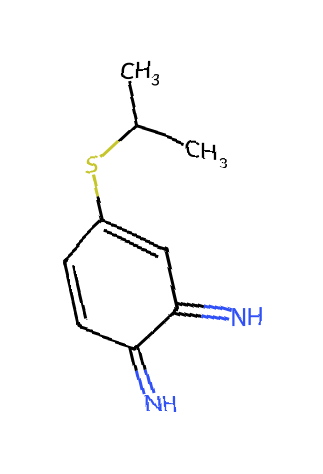 CC(C)SC1=CC(=N)C(=N)C=C1